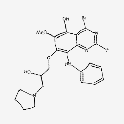 COc1c(OCC(O)CN2CCCC2)c(Nc2ccccc2)c2nc(F)nc(Br)c2c1O